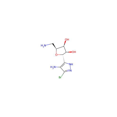 NC[C@@H]1O[C@@H](c2[nH]nc(Br)c2N)[C@H](O)[C@@H]1O